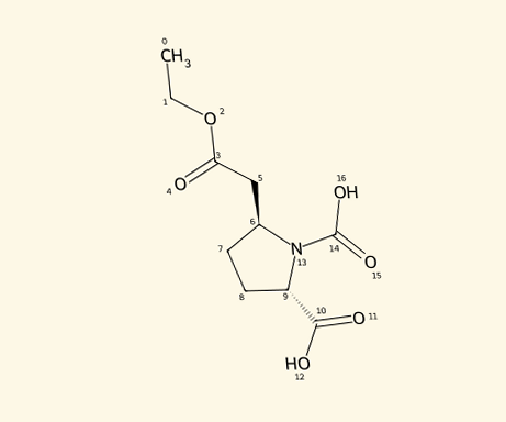 CCOC(=O)C[C@@H]1CC[C@@H](C(=O)O)N1C(=O)O